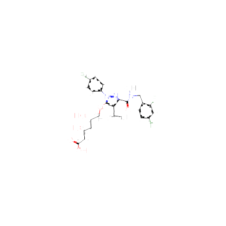 CC(C)c1c(C(=O)N(C)Cc2ccc(F)cc2F)nn(-c2ccc(F)cc2)c1OC[C@@H](O)C[C@@H](O)CC(=O)O